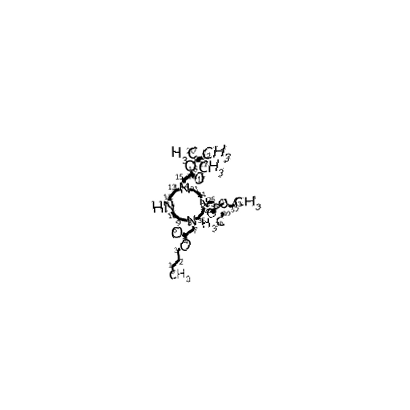 CCCCOC(=O)CN1CCNCCN(CC(=O)OC(C)(C)C)CCN(CP(=O)(CC)OCC)CC1